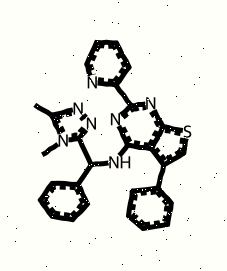 Cc1nnc(C(Nc2nc(-c3ccccn3)nc3scc(-c4ccccc4)c23)c2ccccc2)n1C